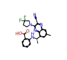 Cc1cc([C@@H](C)Nc2ccccc2C(=O)O)c2nc(N3CCC(F)(F)C3)c(C#N)nc2c1